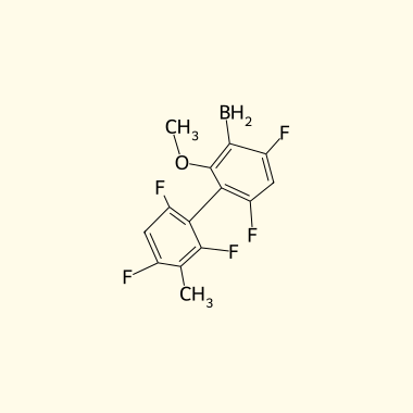 Bc1c(F)cc(F)c(-c2c(F)cc(F)c(C)c2F)c1OC